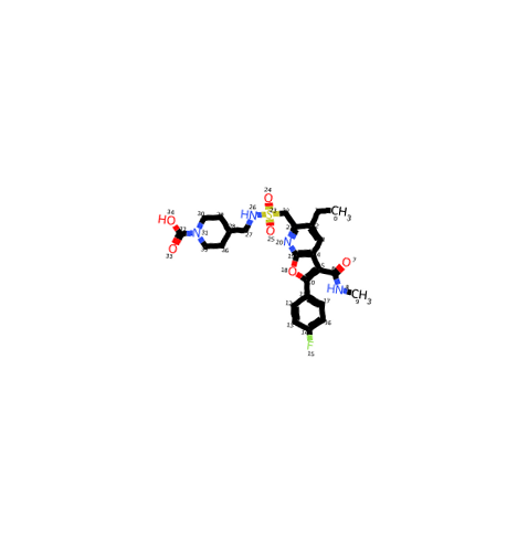 CCc1cc2c(C(=O)NC)c(-c3ccc(F)cc3)oc2nc1CS(=O)(=O)NCC1CCN(C(=O)O)CC1